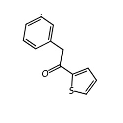 O=C(Cc1c[c]ccc1)c1cccs1